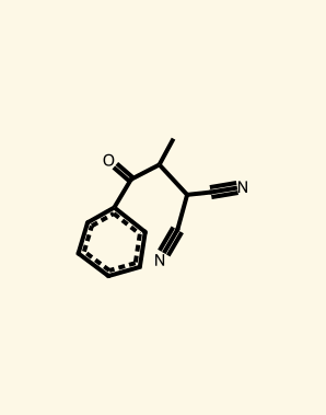 CC(C(=O)c1ccccc1)C(C#N)C#N